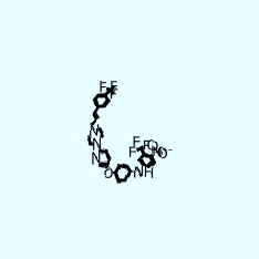 O=[N+]([O-])c1ccc(N[C@H]2CC[C@H](Oc3ccc(N4CCN(C/C=C/c5ccc(C(F)(F)F)cc5)CC4)nc3)CC2)cc1C(F)(F)F